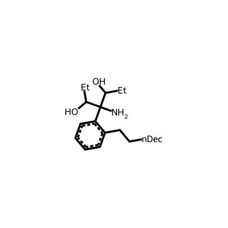 CCCCCCCCCCCCc1ccccc1C(N)(C(O)CC)C(O)CC